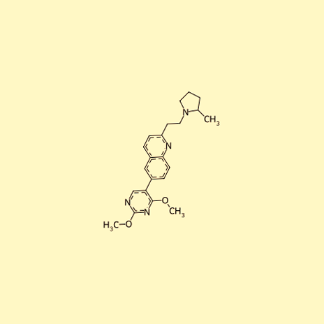 COc1ncc(-c2ccc3nc(CCN4CCCC4C)ccc3c2)c(OC)n1